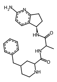 CC(NC(=O)C1CC(Cc2ccccc2)CCN1)C(=O)N[C@@H]1CCc2nc(N)ccc21